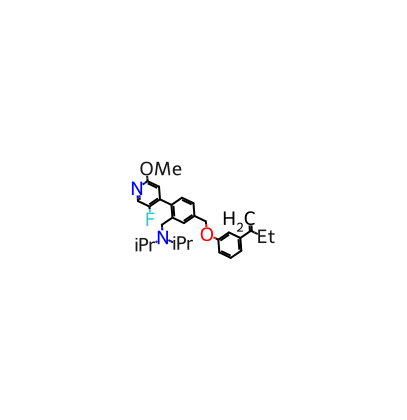 C=C(CC)c1cccc(OCc2ccc(-c3cc(OC)ncc3F)c(CN(C(C)C)C(C)C)c2)c1